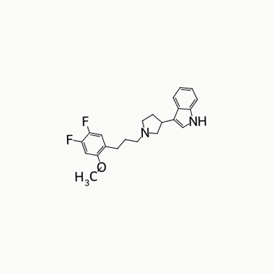 COc1cc(F)c(F)cc1CCCN1CCC(c2c[nH]c3ccccc23)C1